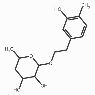 Cc1ccc(CCOC2OC(C)CC(O)C2O)cc1O